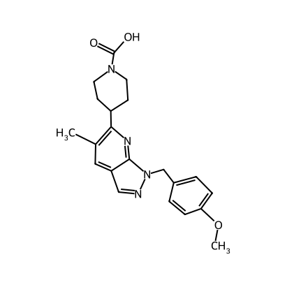 COc1ccc(Cn2ncc3cc(C)c(C4CCN(C(=O)O)CC4)nc32)cc1